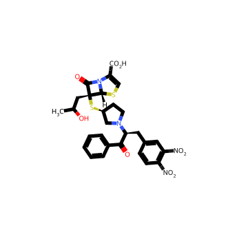 CC(O)C[C@@]1(S[C@H]2CCN([C@@H](Cc3ccc([N+](=O)[O-])c([N+](=O)[O-])c3)C(=O)c3ccccc3)C2)C(=O)N2C(C(=O)O)=CS[C@@H]21